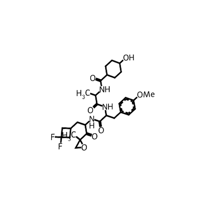 COc1ccc(CC(NC(=O)C(C)NC(=O)C2CCC(O)CC2)C(=O)NC(CC2CC(F)(F)C2)C(=O)C2(C)CO2)cc1